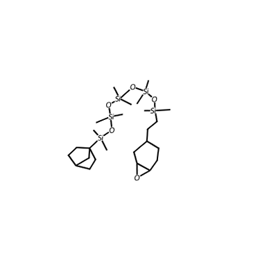 C[Si](C)(CCC1CCC2OC2C1)O[Si](C)(C)O[Si](C)(C)O[Si](C)(C)O[Si](C)(C)C12CCC(CC1)C2